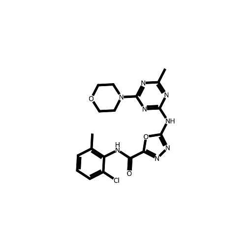 Cc1nc(Nc2nnc(C(=O)Nc3c(C)cccc3Cl)o2)nc(N2CCOCC2)n1